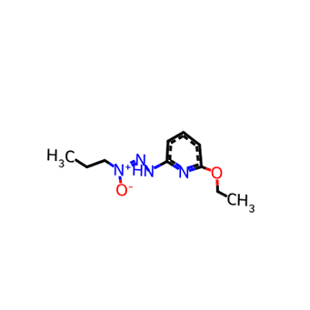 CCC/[N+]([O-])=N/Nc1cccc(OCC)n1